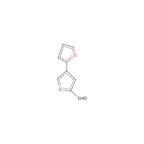 O=Cc1cc(-c2ccco2)cs1